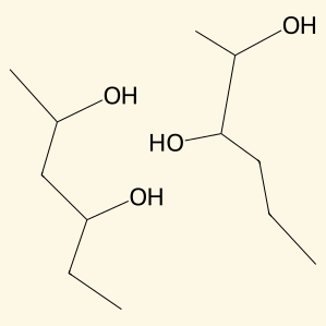 CCC(O)CC(C)O.CCCC(O)C(C)O